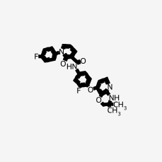 CC1(C)COc2c(Oc3ccc(NC(=O)c4cccn(-c5ccc(F)cc5)c4=O)cc3F)ccnc2N1